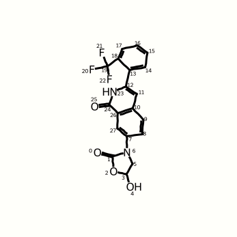 O=C1OC(O)CN1c1ccc2cc(-c3ccccc3C(F)(F)F)[nH]c(=O)c2c1